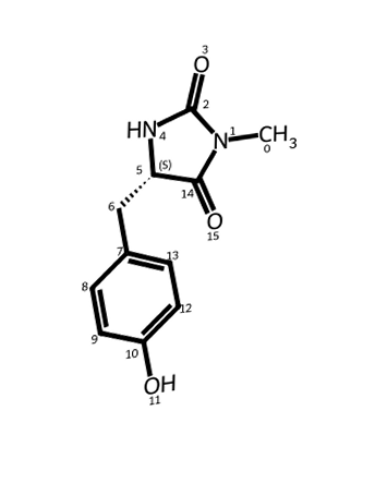 CN1C(=O)N[C@@H](Cc2ccc(O)cc2)C1=O